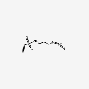 C=CS(=O)(=O)NCCCN=[N+]=[N-]